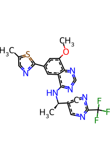 COc1cc(-c2ncc(C)s2)cc2c(N[C@H](C)c3cnc(C(F)(F)F)nc3)ncnc12